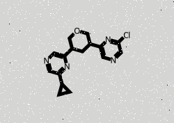 Clc1cncc(C2[CH]OCC(c3cncc(C4CC4)n3)C2)n1